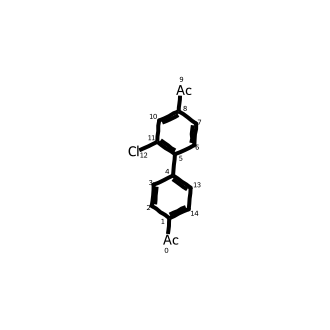 CC(=O)c1ccc(-c2ccc(C(C)=O)cc2Cl)cc1